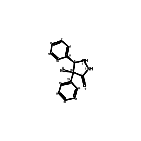 O=C1NN[C@H](c2ccccc2)[C@@]1(O)c1ccccc1